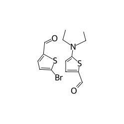 CCN(CC)c1ccc(C=O)s1.O=Cc1ccc(Br)s1